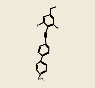 CCc1cc(F)c(C#Cc2ccc(-c3ccc(N)cc3)cc2)c(F)c1